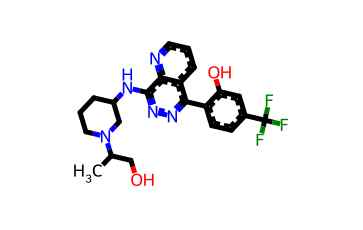 CC(CO)N1CCCC(Nc2nnc(-c3ccc(C(F)(F)F)cc3O)c3cccnc23)C1